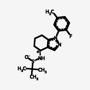 Cc1ccc(F)c(-n2ncc3c2CCC[C@H]3N[S+]([O-])C(C)(C)C)c1